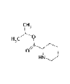 CC(C)OC(=O)C1CCCCN1